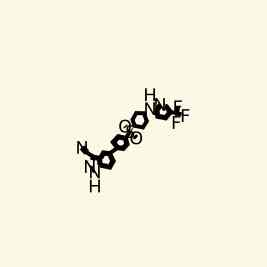 N#Cc1n[nH]c2ccc(-c3ccc(S(=O)(=O)[C@H]4CC[C@H](Nc5ccc(C(F)(F)F)cn5)CC4)cc3)cc12